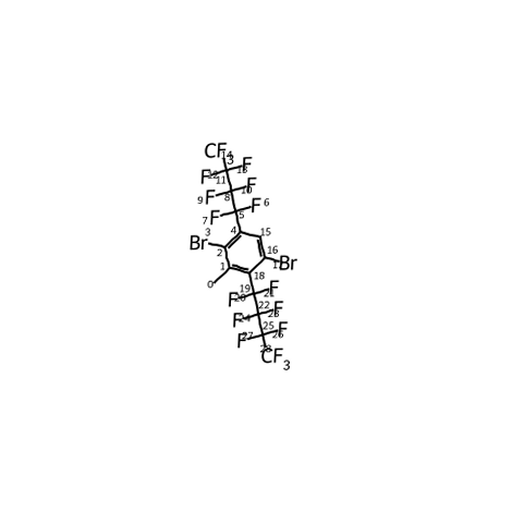 Cc1c(Br)c(C(F)(F)C(F)(F)C(F)(F)C(F)(F)F)cc(Br)c1C(F)(F)C(F)(F)C(F)(F)C(F)(F)F